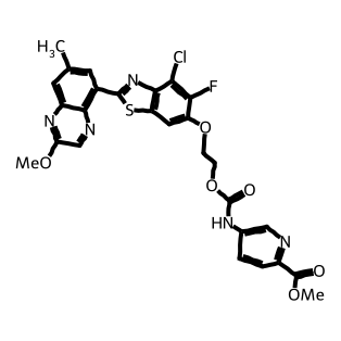 COC(=O)c1ccc(NC(=O)OCCOc2cc3sc(-c4cc(C)cc5nc(OC)cnc45)nc3c(Cl)c2F)cn1